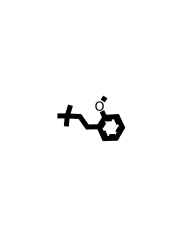 COc1ccccc1CCC(C)(C)C